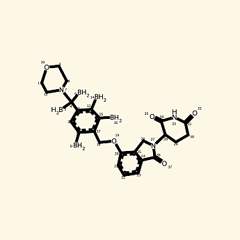 Bc1cc(C(B)(B)N2CCOCC2)c(B)c(B)c1COc1cccc2c1CN(C1CCC(=O)NC1=O)C2=O